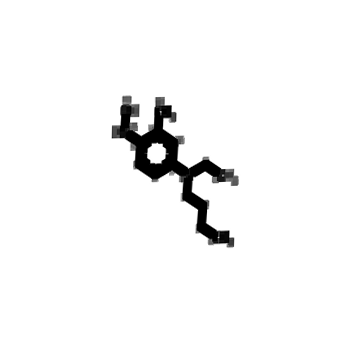 CCCCN(CC)c1ccc(NO)c(C)c1